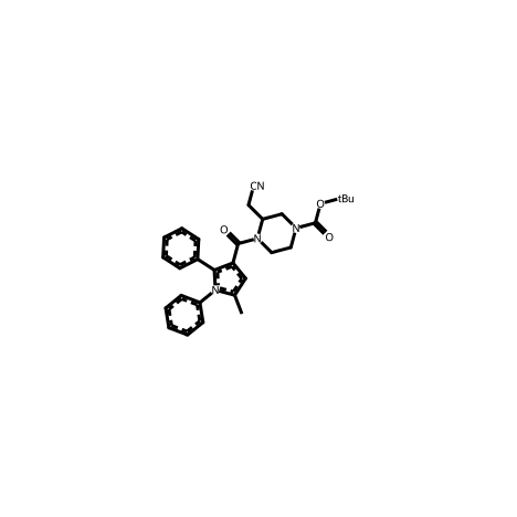 Cc1cc(C(=O)N2CCN(C(=O)OC(C)(C)C)CC2CC#N)c(-c2ccccc2)n1-c1ccccc1